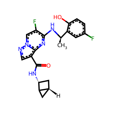 C[C@@H](Nc1nc2c(C(=O)N[C@@H]3C[C@@H]4CC43)cnn2cc1F)c1cc(F)ccc1O